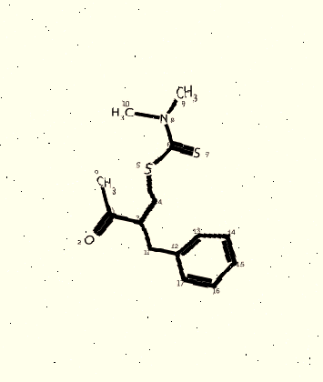 CC(=O)C(CSC(=S)N(C)C)Cc1ccccc1